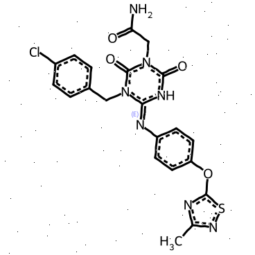 Cc1nsc(Oc2ccc(/N=c3\[nH]c(=O)n(CC(N)=O)c(=O)n3Cc3ccc(Cl)cc3)cc2)n1